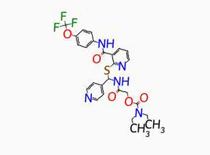 CCN(CC)C(=O)OCC(=O)NC(Sc1ncccc1C(=O)Nc1ccc(OC(F)(F)F)cc1)c1ccncc1